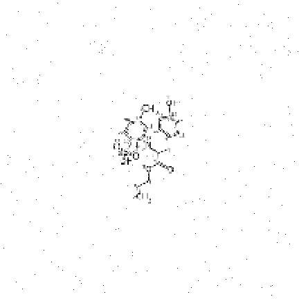 C=CCOC(=O)[C@@H](N)Cc1ccc(O)cc1.Cc1ccc(S(=O)(=O)O)cc1